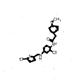 COc1ccc(CC(=O)Nc2ccc(NCc3ccc(Cl)s3)cc2Cl)cc1